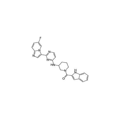 O=C(c1cc2ccccc2[nH]1)N1CCCC(Nc2ccnc(-c3cnc4ccc(F)cn34)n2)C1